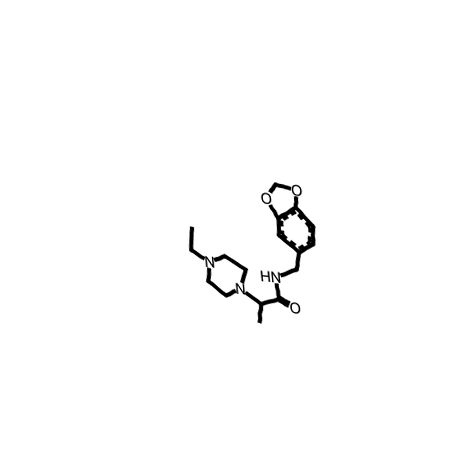 CCN1CCN(C(C)C(=O)NCc2ccc3c(c2)OCO3)CC1